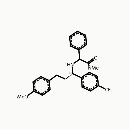 CNC(=O)C(N[C@@H](CCc1ccc(OC)cc1)c1ccc(C(F)(F)F)cc1)c1ccccc1